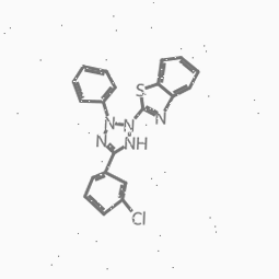 Clc1cccc(C2=NN(c3ccccc3)N(c3nc4ccccc4s3)N2)c1